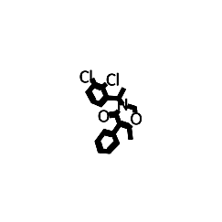 CC1=C(c2ccccc2)C(=O)N(C(C)c2cccc(Cl)c2Cl)CO1